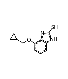 Sc1nc2c(OCC3CC3)cccc2[nH]1